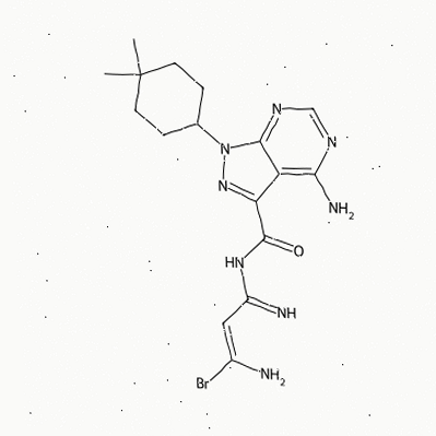 CC1(C)CCC(n2nc(C(=O)NC(=N)/C=C(\N)Br)c3c(N)ncnc32)CC1